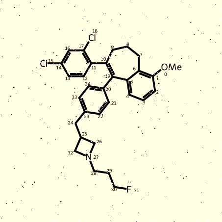 COc1cccc2c1CCCC(c1ccc(Cl)cc1Cl)=C2c1ccc(CC2CN(CCCF)C2)cc1